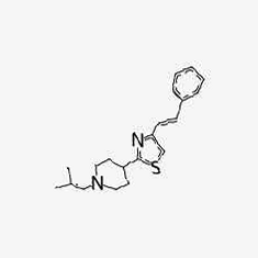 C[C](C)CN1CCC(c2nc(C=Cc3ccccc3)cs2)CC1